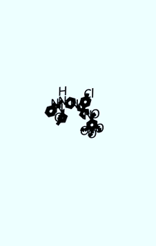 COc1cc(C(=O)N2CCC(CCN3CCC(Nc4nc5ccccc5n4Cc4ccc(C)o4)CC3)(c3ccc(Cl)cc3)C2)cc(OC)c1OC